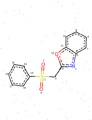 O=S(=O)(Cc1nc2ccccc2o1)c1ccccc1